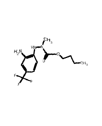 CCCCOC(=O)N(C)Nc1ccc(C(F)(F)F)cc1N